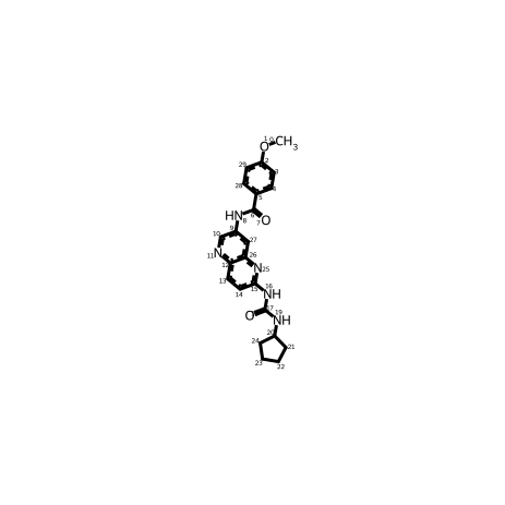 COc1ccc(C(=O)Nc2cnc3ccc(NC(=O)NC4CCCC4)nc3c2)cc1